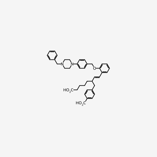 O=C(O)CCCCC(/C=C/c1ccccc1OCc1ccc(N2CCN(Cc3ccccc3)CC2)cc1)Cc1ccc(C(=O)O)cc1